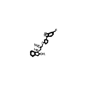 OC(CNC1c2ccccc2CC1O)COc1cccc(-c2noc3cc(F)ccc23)c1